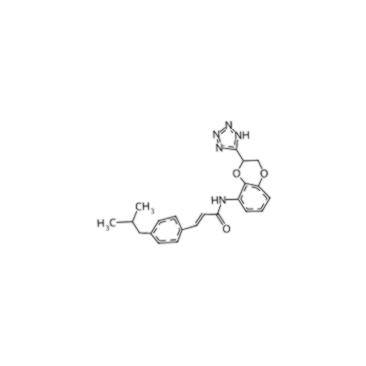 CC(C)Cc1ccc(C=CC(=O)Nc2cccc3c2OC(c2nnn[nH]2)CO3)cc1